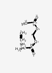 C=C.N.N.O=[PH](O)OCO[PH](=O)O